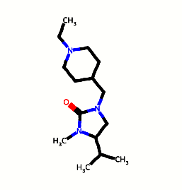 CCN1CCC(CN2CC(C(C)C)N(C)C2=O)CC1